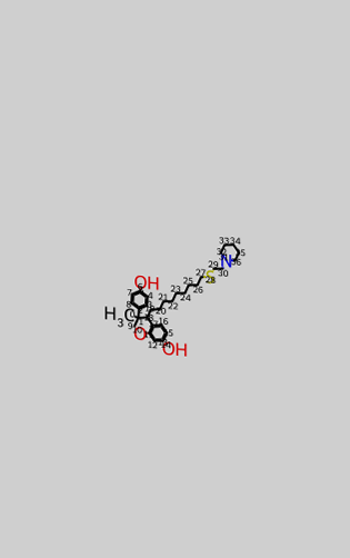 CC1(c2ccc(O)cc2)COc2cc(O)ccc2C1CCCCCCCCCSCCN1CCCCC1